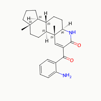 C[C@@]12CCC[C@H]1[C@@H]1CC[C@H]3NC(=O)C(C(=O)c4ccccc4N)=C[C@]3(C)[C@H]1CC2